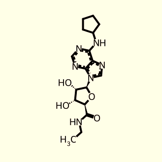 CCNC(=O)[C@@H]1O[C@H](n2cnc3c(NC4CCCC4)ncnc32)[C@@H](O)[C@H]1O